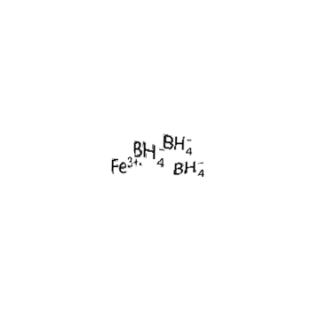 [BH4-].[BH4-].[BH4-].[Fe+3]